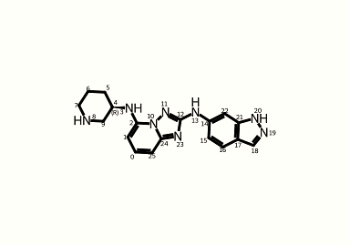 c1cc(N[C@@H]2CCCNC2)n2nc(Nc3ccc4cn[nH]c4c3)nc2c1